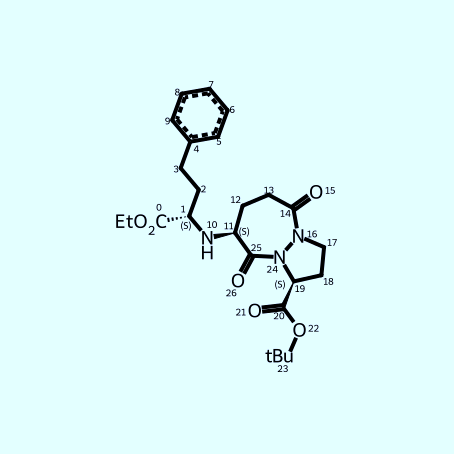 CCOC(=O)[C@H](CCc1ccccc1)N[C@H]1CCC(=O)N2CC[C@@H](C(=O)OC(C)(C)C)N2C1=O